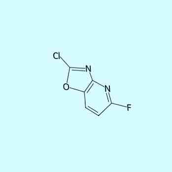 Fc1ccc2oc(Cl)nc2n1